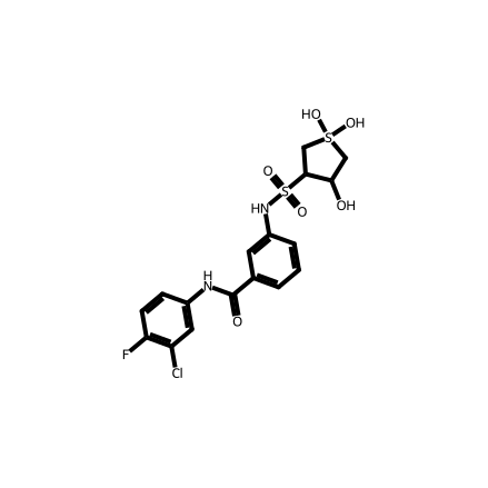 O=C(Nc1ccc(F)c(Cl)c1)c1cccc(NS(=O)(=O)C2CS(O)(O)CC2O)c1